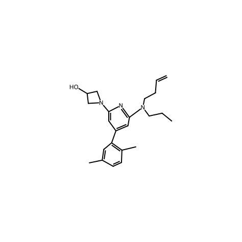 C=CCCN(CCC)c1cc(-c2cc(C)ccc2C)cc(N2CC(O)C2)n1